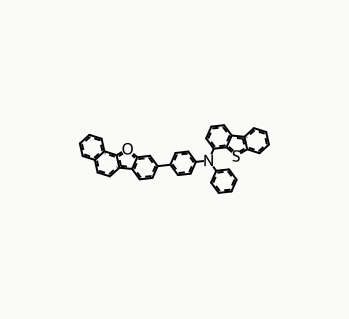 c1ccc(N(c2ccc(-c3ccc4c(c3)oc3c5ccccc5ccc43)cc2)c2cccc3c2sc2ccccc23)cc1